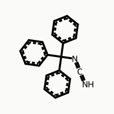 N=C=NC(c1ccccc1)(c1ccccc1)c1ccccc1